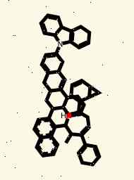 CC1C(C2=CCCC=C2)=CCC(C2CC=CC3CC32)NC1c1c(C2CC3CC4=CC=C(N5C6=C(CCC=C6)C6C=CC=CC65)CC4C=C3C3C=CC=CC32)ccc2ccccc12